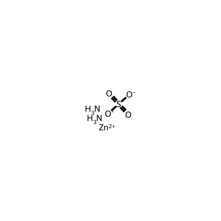 N.N.O=S(=O)([O-])[O-].[Zn+2]